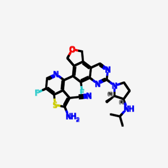 CC(C)N[C@@H]1CCN(c2ncc3c4c(c(-c5ncc(F)c6sc(N)c(C#N)c56)c(F)c3n2)COC4)[C@@H]1C